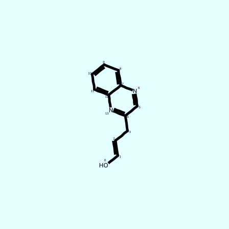 OC=CCc1cnc2ccccc2n1